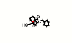 O=C(OCc1ccccc1)C12CCC#CC13OC(O)CC3CC2